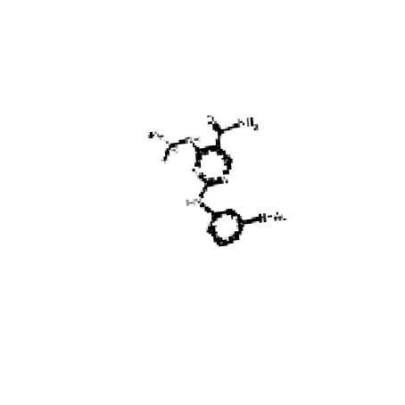 CC(=O)Nc1cccc(Nc2ncc(C(N)=O)c(N[C@H](C)C(C)C)n2)c1